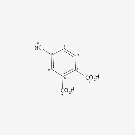 N#Cc1ccc(C(=O)O)c(C(=O)O)c1